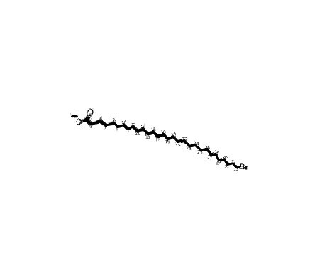 CCOC(=O)CCCCCCCCCCCCCCCCCCCCCCCCCCCCCBr